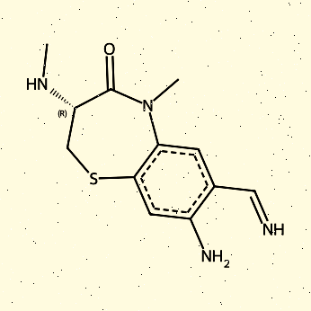 CN[C@H]1CSc2cc(N)c(C=N)cc2N(C)C1=O